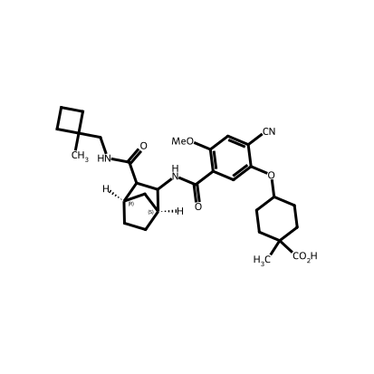 COc1cc(C#N)c(OC2CCC(C)(C(=O)O)CC2)cc1C(=O)NC1C(C(=O)NCC2(C)CCC2)[C@@H]2CC[C@H]1C2